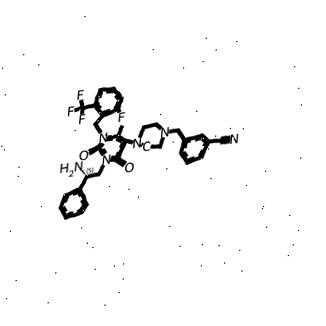 Cc1c(N2CCN(Cc3cccc(C#N)c3)CC2)c(=O)n(C[C@@H](N)c2ccccc2)c(=O)n1Cc1c(F)cccc1C(F)(F)F